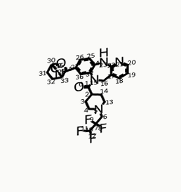 O=C(C1CCN(CC(F)(F)C(F)F)CC1)N1Cc2cccnc2Nc2ccc(N3CC4CCC3CO4)cc21